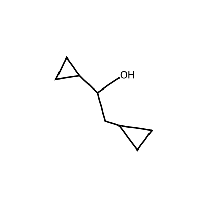 OC(CC1CC1)C1CC1